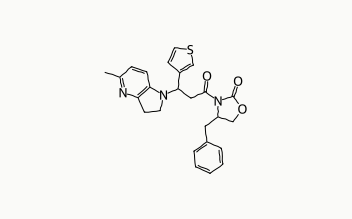 Cc1ccc2c(n1)CCN2C(CC(=O)N1C(=O)OCC1Cc1ccccc1)c1ccsc1